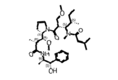 CC[C@H](C)[C@@H](C(COC)C(=O)N1CCC[C@H]1[C@H](OC)[C@@H](C)C(=O)N[C@H](C)[C@@H](O)c1ccccc1)N(C)C(=O)CC(C)C